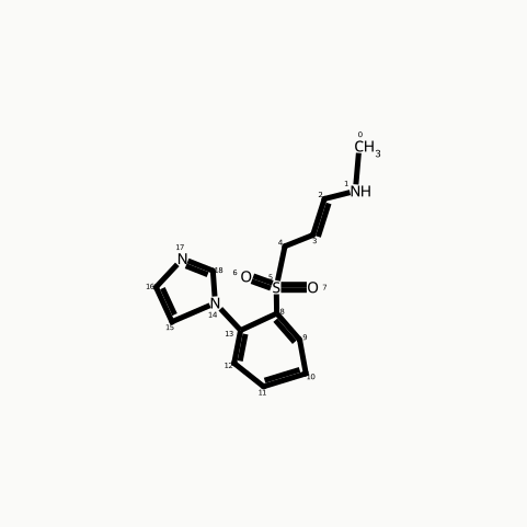 CNC=CCS(=O)(=O)c1ccccc1-n1ccnc1